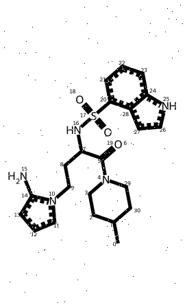 CC1CCN(C(=O)C(CCn2cccc2N)NS(=O)(=O)c2cccc3[nH]ccc23)CC1